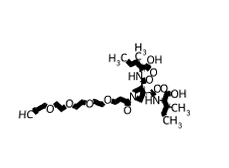 C#CCOCCOCCOCCOCCC(=O)N1C[C@@H](C(=O)N[C@H](C(=O)O)[C@H](C)CC)[C@H](C(=O)N[C@H](C(=O)O)[C@H](C)CC)C1